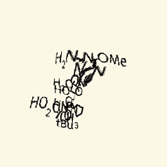 COc1nc(N)nc2c1ncn2[C@@H]1O[C@H](COP(=O)(N[C@@](C)(CC(C)(C)C)C(=O)O)N2CCCC2)[C@@H](O)[C@@]1(C)O